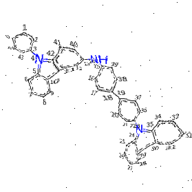 c1ccc(-n2c3ccccc3c3cc(Nc4ccc(-c5ccc(-n6c7ccccc7c7ccccc76)cc5)cc4)ccc32)cc1